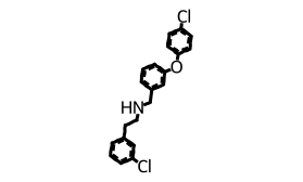 Clc1ccc(Oc2cccc(CNCCc3cccc(Cl)c3)c2)cc1